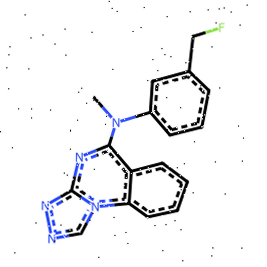 CN(c1cccc(CF)c1)c1nc2nncn2c2ccccc12